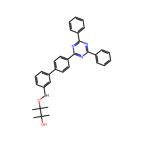 CC(C)(O)C(C)(C)OBc1cccc(-c2ccc(-c3nc(-c4ccccc4)nc(-c4ccccc4)n3)cc2)c1